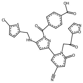 N#Cc1cc(-c2cc(NCc3ccc(Cl)s3)n(C(=O)c3ccc(C(=O)O)cc3)n2)n(CC(=O)c2ccno2)c(=O)c1